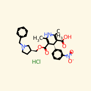 CC1=C(C(=O)O)[C@H](c2cccc([N+](=O)[O-])c2)C(C(=O)OC[C@H]2CCN(Cc3ccccc3)C2)=C(C)N1.Cl